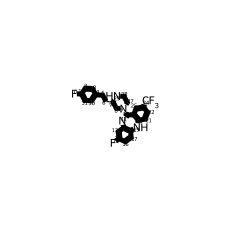 Fc1ccc(CC[C@H]2CN(C3=Nc4cc(F)ccc4Nc4ccc(C(F)(F)F)cc43)CCN2)cc1